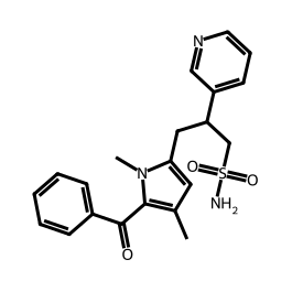 Cc1cc(CC(CS(N)(=O)=O)c2cccnc2)n(C)c1C(=O)c1ccccc1